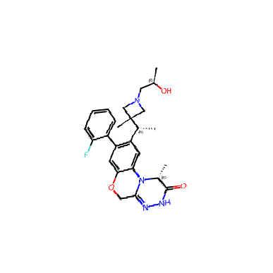 C[C@@H]1C(=O)NN=C2COc3cc(-c4ccccc4F)c([C@@H](C)C4(C)CN(C[C@@H](C)O)C4)cc3N21